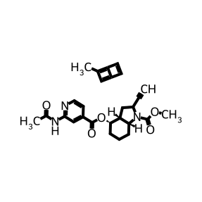 C#CC1C[C@H]2[C@@H](OC(=O)c3ccnc(NC(C)=O)c3)CCC[C@H]2N1C(=O)OC.Cc1cc2ccc1-2